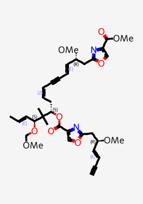 C#C/C=C/[C@@H](Cc1nc(C(=O)O[C@@H](C/C=C\C#C/C=C/[C@@H](Cc2nc(C(=O)OC)co2)OC)C(C)(C)[C@H](/C=C/C)OCOC)co1)OC